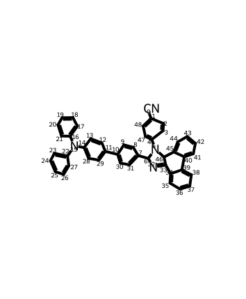 N#Cc1ccc(N2C(c3ccc(-c4ccc(N(c5ccccc5)c5ccccc5)cc4)cc3)N=C3c4ccccc4-c4ccccc4C32)cc1